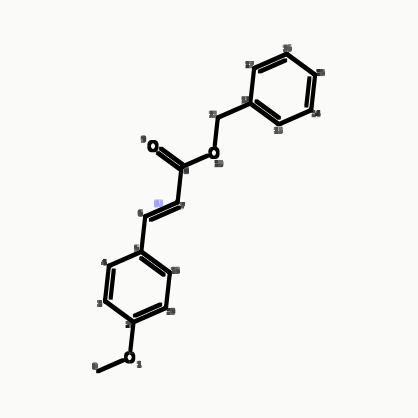 COc1ccc(/C=C/C(=O)OCc2ccccc2)cc1